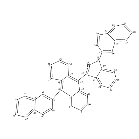 c1ccc2cc(-c3c4ccccc4c(-c4nn(-c5ccc6ccccc6c5)c5ccccc45)c4ccccc34)ccc2c1